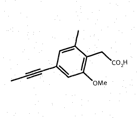 CC#Cc1cc(C)c(CC(=O)O)c(OC)c1